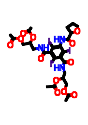 CC(=O)OCC(CNC(=O)c1c(I)c(NC(=O)C2CCCO2)c(I)c(C(=O)NCC(COC(C)=O)OC(C)=O)c1I)OC(C)=O